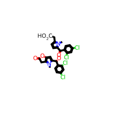 Cn1c(C(=O)c2ccc(Cl)cc2Cl)cc2c1CC(=O)O2.Cn1c(CC(=O)O)ccc1C(=O)c1ccc(Cl)cc1Cl